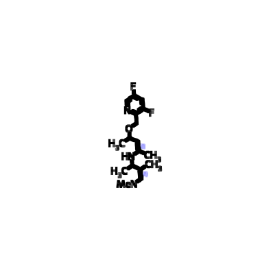 CN/C=C(/C)C(C)N/C(C)=C\C(C)OCc1ncc(F)cc1F